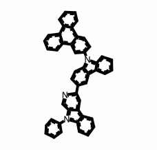 c1ccc(-n2c3ccccc3c3cc(-c4ccc5c(c4)c4ccccc4n5-c4ccc5c6ccccc6c6ccccc6c5c4)ncc32)cc1